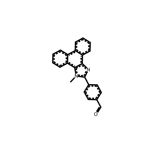 Cn1c(-c2ccc(C=O)cc2)nc2c3ccccc3c3ccccc3c21